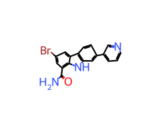 NC(=O)c1cc(Br)cc2c1[nH]c1cc(-c3cccnc3)ccc12